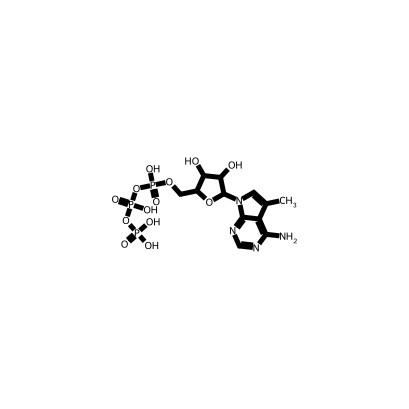 Cc1cn(C2OC(COP(=O)(O)OP(=O)(O)OP(=O)(O)O)C(O)C2O)c2ncnc(N)c12